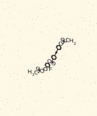 C=CC(=O)COc1ccc(C#Cc2ccc(C(=O)Oc3ccc(OCOC(=O)C=C)c(F)c3)cc2)cc1